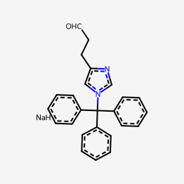 O=CCCc1cn(C(c2ccccc2)(c2ccccc2)c2ccccc2)cn1.[NaH]